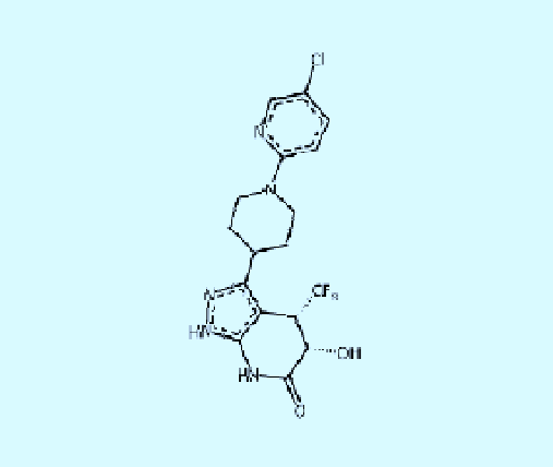 O=C1Nc2[nH]nc(C3CCN(c4ccc(Cl)cn4)CC3)c2[C@H](C(F)(F)F)[C@@H]1O